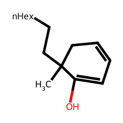 CCCCCCCCC1(C)CC=CC=C1O